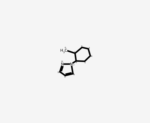 CC1CCCCC1n1cccn1